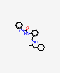 CC(CC1CCCCC1)NCc1ccccc1NC(=O)Nc1ccccc1